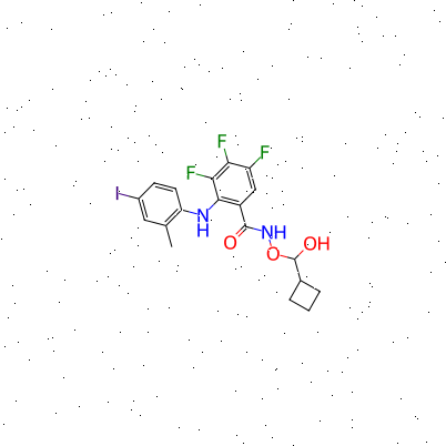 Cc1cc(I)ccc1Nc1c(C(=O)NOC(O)C2CCC2)cc(F)c(F)c1F